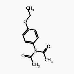 CCOc1ccc(N(C(C)=O)C(C)=O)cc1